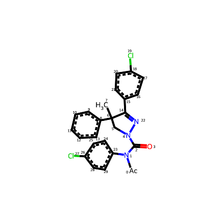 CC(=O)N(C(=O)N1CC(C)(c2ccccc2)C(c2ccc(Cl)cc2)=N1)c1ccc(Cl)cc1